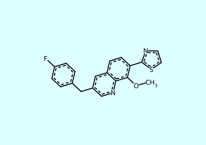 COc1c(-c2nccs2)ccc2cc(Cc3ccc(F)cc3)cnc12